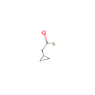 O=C([S])CC1CC1